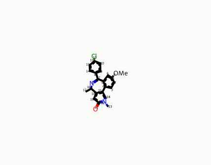 COc1ccc2c(c1)C(c1ccc(Cl)cc1)=NC(C)c1cc(=O)n(C)cc1-2